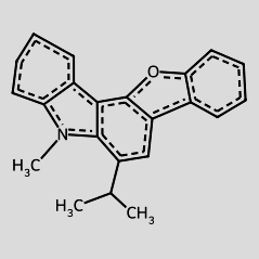 CC(C)c1cc2c3ccccc3oc2c2c3ccccc3n(C)c12